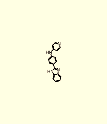 c1ccc2[nH]c(-c3ccc(Nc4ccncc4)cc3)nc2c1